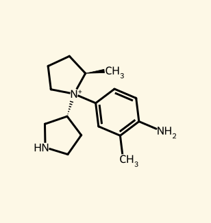 Cc1cc([N+]2([C@@H]3CCNC3)CCC[C@H]2C)ccc1N